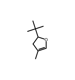 CC1=COC(C(C)(C)C)C1